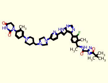 Cc1cc(N2CCC(CN3CCN(c4ccc(-c5cc6c(-c7ccc([C@@H](C)NC(=O)c8noc(C(C)(C)C)n8)c(C)c7F)ncnc6[nH]5)nc4)CC3)CC2)ccc1N1CCC(=O)NC1=O